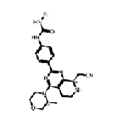 CCNC(=O)Nc1ccc(-c2nc3c(c(N4CCOC[C@@H]4C)n2)CCN[C@@H]3CC#N)cc1